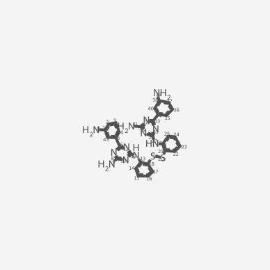 Nc1cccc(-c2nc(N)nc(Nc3ccccc3SSc3ccccc3Nc3nc(N)nc(-c4cccc(N)c4)n3)n2)c1